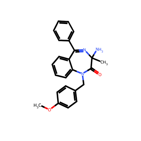 COc1ccc(CN2C(=O)C(C)(N)N=C(c3ccccc3)c3ccccc32)cc1